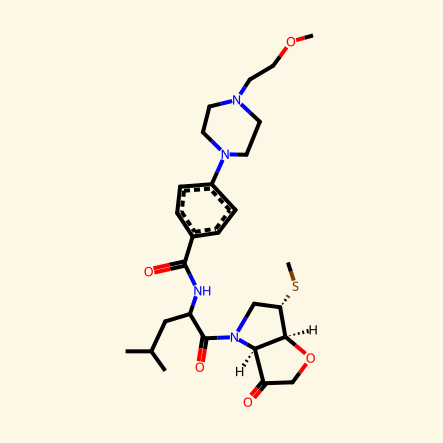 COCCN1CCN(c2ccc(C(=O)NC(CC(C)C)C(=O)N3C[C@H](SC)[C@H]4OCC(=O)[C@H]43)cc2)CC1